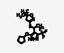 CC(SC1=NOC(C)(C)C1)c1c(C(F)(F)F)n[nH]c1OC1CCCC1